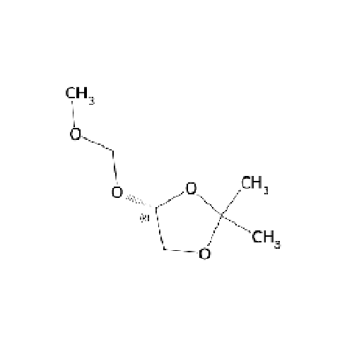 COCO[C@H]1COC(C)(C)O1